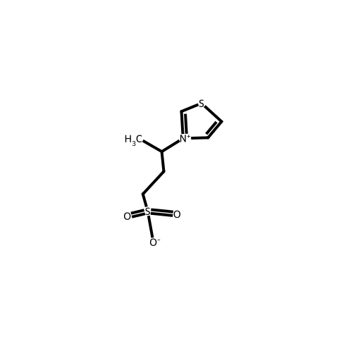 CC(CCS(=O)(=O)[O-])[n+]1ccsc1